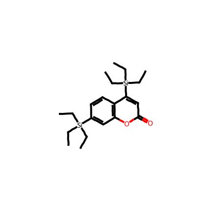 CC[Si](CC)(CC)c1ccc2c([Si](CC)(CC)CC)cc(=O)oc2c1